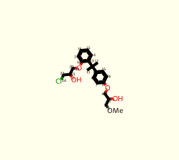 COCC(O)COc1ccc(C(C)(C)c2ccccc2OCC(O)CCl)cc1